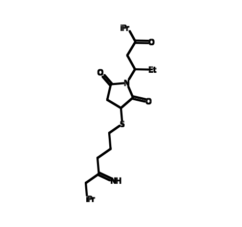 CCC(CC(=O)C(C)C)N1C(=O)CC(SCCCC(=N)CC(C)C)C1=O